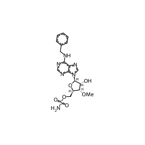 CO[C@H]1[C@@H](O)[C@H](n2cnc3c(NCc4ccccc4)ncnc32)O[C@@H]1COS(N)(=O)=O